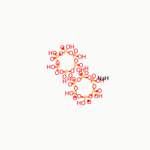 O=P1(O)OP(=O)(O)OP(=O)(O)OP(=O)(O)OP(=O)(O)OP(=O)(O)O1.O=P1(O)OP(=O)(O)OP(=O)(O)OP(=O)(O)OP(=O)(O)OP(=O)(O)O1.[NaH]